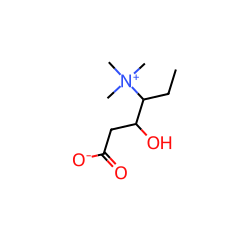 CCC(C(O)CC(=O)[O-])[N+](C)(C)C